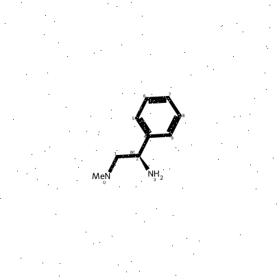 CNC[C@H](N)c1ccccc1